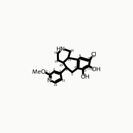 COc1cc(C2Cc3c(cc(Cl)c(O)c3O)C3CNCCC23)ccn1